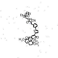 CCO[Si](CNC(=O)/C(C#N)=C/c1cccc(-c2ccc(-c3cc4cc5c6c(c4oc3=O)C(C)(C)CCN6CCC5(C)C)s2)c1)(OCC)OCC